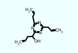 C=CCc1nc(CC=C)nc(C(O)CC=C)n1